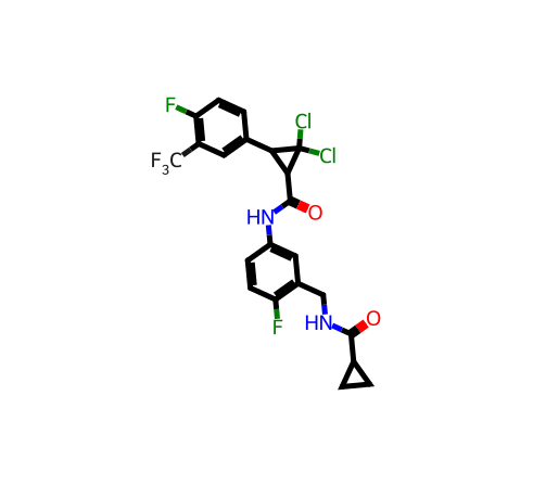 O=C(NCc1cc(NC(=O)C2C(c3ccc(F)c(C(F)(F)F)c3)C2(Cl)Cl)ccc1F)C1CC1